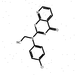 N#CCN(c1ccc(Cl)cc1)c1nc(=O)c2cccnc2s1